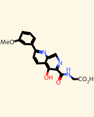 COc1cccc(-c2ccc3c(O)c(C(=O)NCC(=O)O)ncc3n2)c1